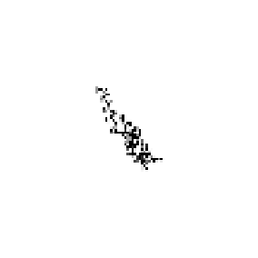 CCCCCCCC1CCC(C(=O)OC2CCC(C#N)(CCC)CC2)CC1